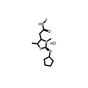 CC1SC(=NC2CCCC2)N(C)C1CC(=O)NF.Cl